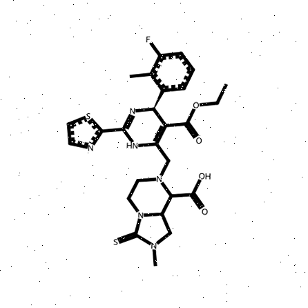 CCOC(=O)C1=C(CN2CCN3C(=S)N(C)CC3C2C(=O)O)NC(c2nccs2)=N[C@H]1c1cccc(F)c1C